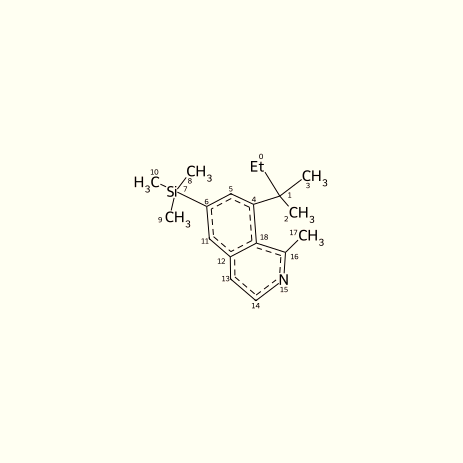 CCC(C)(C)c1cc([Si](C)(C)C)cc2ccnc(C)c12